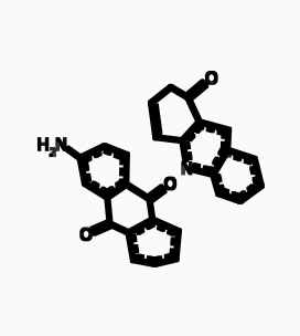 Nc1ccc2c(c1)C(=O)c1ccccc1C2=O.O=C1CC=Cc2nc3ccccc3cc21